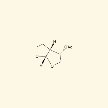 CC(=O)O[C@@H]1CO[C@@H]2OCC[C@@H]21